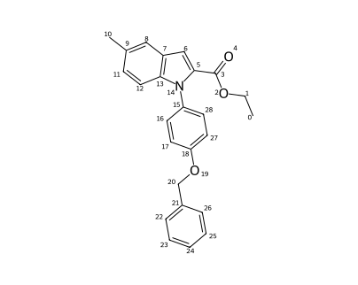 CCOC(=O)c1cc2cc(C)ccc2n1-c1ccc(OCc2ccccc2)cc1